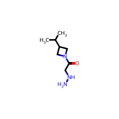 CC(C)C1CN(C(=O)CNN)C1